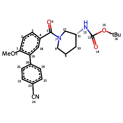 COc1ccc(C(=O)N2CCC[C@@H](NC(=O)OC(C)(C)C)C2)cc1-c1ccc(C#N)cc1